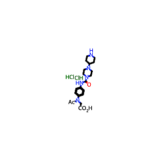 CC(=O)N(CC(=O)O)c1ccc(NC(=O)N2CCN(C3CCNCC3)CC2)cc1.Cl.Cl